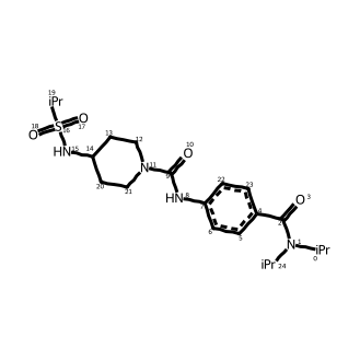 CC(C)N(C(=O)c1ccc(NC(=O)N2CCC(NS(=O)(=O)C(C)C)CC2)cc1)C(C)C